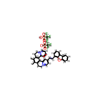 Cc1c(C)c2c(c3c1CC[n+]1ccc(/C=C/c4cccc5c4oc4ccccc45)cc1-3)-c1c3ccccc3cc[n+]1CC2.O=S(=O)([O-])C(F)(F)F.O=S(=O)([O-])C(F)(F)F